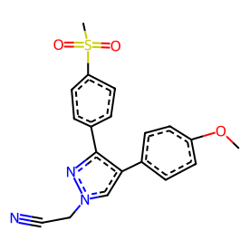 COc1ccc(-c2cn(CC#N)nc2-c2ccc(S(C)(=O)=O)cc2)cc1